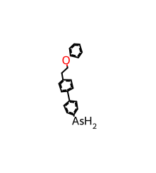 [AsH2]c1ccc(-c2ccc(CCOc3ccccc3)cc2)cc1